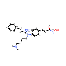 CN(C)CCCCN1c2ccc(/C=C/C(=O)NO)cc2NC1CCc1ccccc1